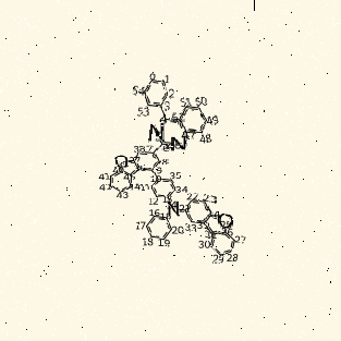 c1ccc(-c2nc(-c3cc(-c4ccc(N(c5ccccc5)c5ccc6oc7ccccc7c6c5)cc4)c4c(c3)oc3ccccc34)nc3ccccc23)cc1